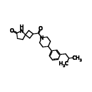 CC(C)Cc1cccc(C2CCN(C(=O)C3CC4(CCC(=O)N4)C3)CC2)c1